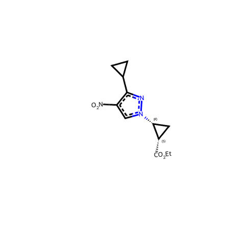 CCOC(=O)[C@H]1C[C@H]1n1cc([N+](=O)[O-])c(C2CC2)n1